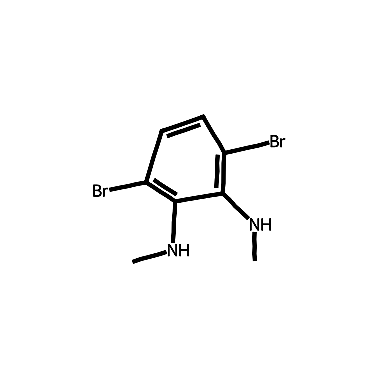 CNc1c(Br)ccc(Br)c1NC